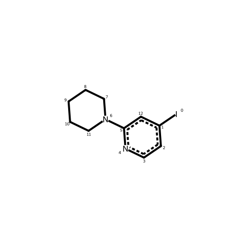 Ic1ccnc(N2CCCCC2)c1